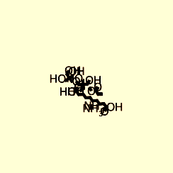 C=CC(=O)OC.N.N.O=C(O)CCCCCCCCC(=O)O.OCC(CO)(CO)COCC(CO)(CO)CO